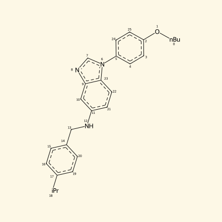 CCCCOc1ccc(-n2cnc3cc(NCc4ccc(C(C)C)cc4)ccc32)cc1